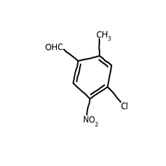 Cc1cc(Cl)c([N+](=O)[O-])cc1C=O